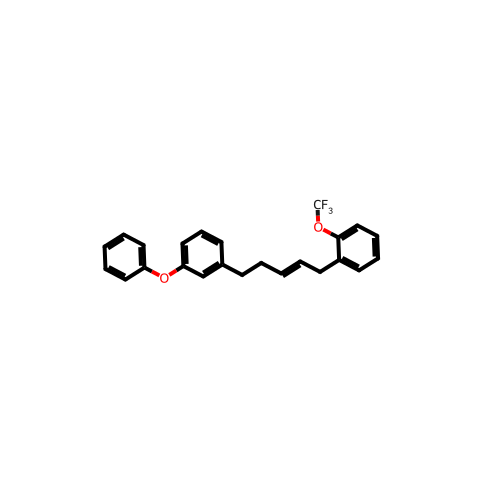 FC(F)(F)Oc1ccccc1C/C=C/CCc1cccc(Oc2ccccc2)c1